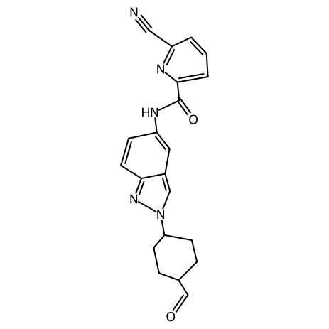 N#Cc1cccc(C(=O)Nc2ccc3nn(C4CCC(C=O)CC4)cc3c2)n1